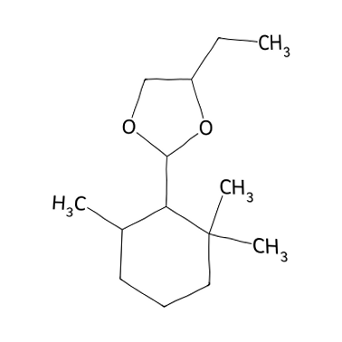 CCC1COC(C2C(C)CCCC2(C)C)O1